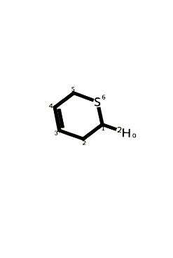 [2H]C1CC=CCS1